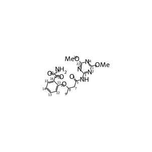 COc1nc(NC(=O)CC(C)Oc2ccccc2S(N)(=O)=O)nc(OC)n1